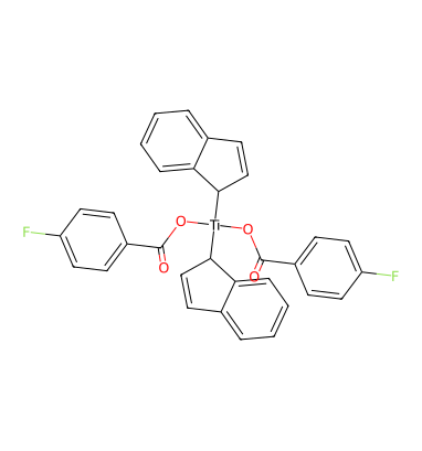 O=C([O][Ti]([O]C(=O)c1ccc(F)cc1)([CH]1C=Cc2ccccc21)[CH]1C=Cc2ccccc21)c1ccc(F)cc1